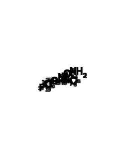 NC(=O)c1ccccc1-n1cc(COc2ccc(F)cc2)nn1